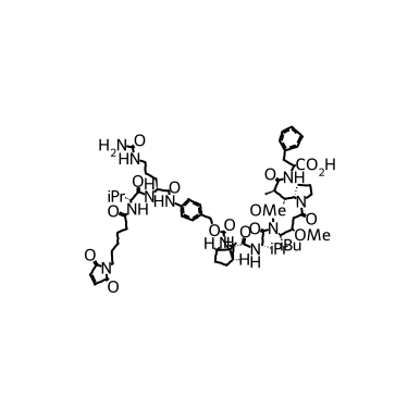 CC[C@H](C)[C@@H]([C@@H](CC(=O)N1CCC[C@H]1[C@H](OC)[C@@H](C)C(=O)N[C@@H](Cc1ccccc1)C(=O)O)OC)N(C)C(=O)[C@@H](NC(=O)[C@@H]1[C@H]2CC[C@@H]([C@H]2C)N1C(=O)OCc1ccc(NC(=O)[C@H](CCCNC(N)=O)NC(=O)[C@H](NC(=O)CCCCCN2C(=O)C=CC2=O)C(C)C)cc1)C(C)C